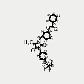 CC1C(=O)N(c2ccc(S(=O)(=O)C(F)(F)F)cc2)C(=O)N1Cc1ccnc(OC(=O)c2ccccc2)c1